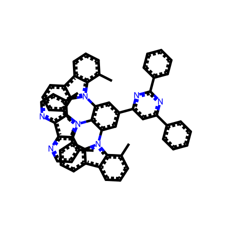 Cc1cccc2c3cccc(C)c3n(-c3cc(-c4cc(-c5ccccc5)nc(-c5ccccc5)n4)cc(-n4c5c(C)cccc5c5cccc(C)c54)c3-n3c4c(C)ccnc4c4nccc(C)c43)c12